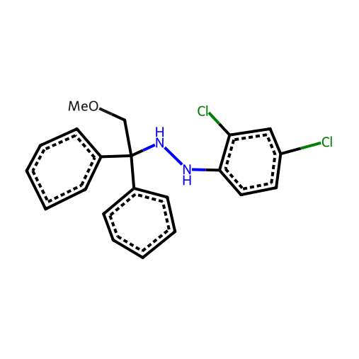 COCC(NNc1ccc(Cl)cc1Cl)(c1ccccc1)c1ccccc1